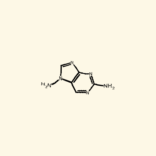 Nc1ncc2c(ncn2N)n1